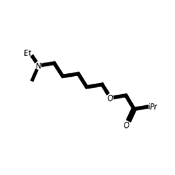 CCN(C)CCCCCOCC(=O)C(C)C